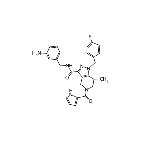 CC1CN(C(=O)c2ccc[nH]2)Cc2c(C(=O)NCc3cccc(N)c3)nn(Cc3ccc(F)cc3)c21